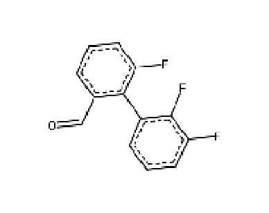 O=Cc1cccc(F)c1-c1cccc(F)c1F